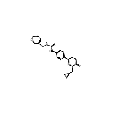 O=C(Nc1ccc(C2=NN(CC3CC3)C(=O)CC2)cc1)N1Cc2ccncc2C1